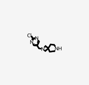 Clc1ncc(CN2CC3(CCNCC3)C2)cn1